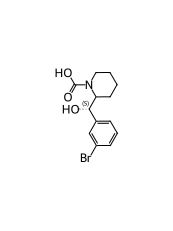 O=C(O)N1CCCCC1[C@@H](O)c1cccc(Br)c1